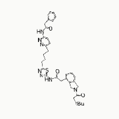 CC(C)(C)CC(=O)N1Cc2cccc(CC(=O)Nc3nnc(CCCCc4ccc(NC(=O)Cc5ccccc5)nn4)s3)c2C1